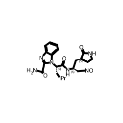 CC(C)C[C@@H](C(=O)N[C@H](CN=O)C[C@@H]1CCNC1=O)n1c(C(N)=O)nc2ccccc21